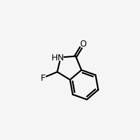 O=C1NC(F)c2ccccc21